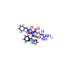 N=C(N)NCCC[C@@H]([C]=O)N(C(=O)[C@H](N)CC1CCCCC1)C(=O)[C@H](Cc1ccccc1)NC(=O)[C@@H]1CCCN1